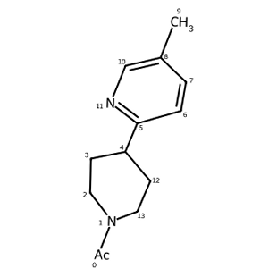 CC(=O)N1CCC(c2ccc(C)cn2)CC1